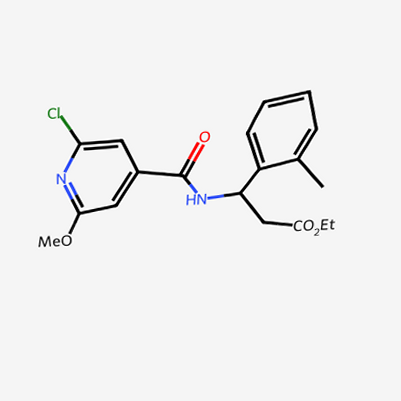 CCOC(=O)CC(NC(=O)c1cc(Cl)nc(OC)c1)c1ccccc1C